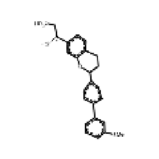 CSc1cccc(-c2ccc(C3CCc4ccc([C@H](O)CC(=O)O)cc4O3)cc2)c1